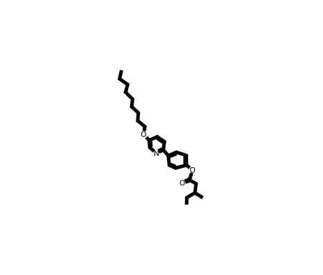 CCCCCCCCCOc1ccc(-c2ccc(OC(=O)CC(C)CC)cc2)nc1